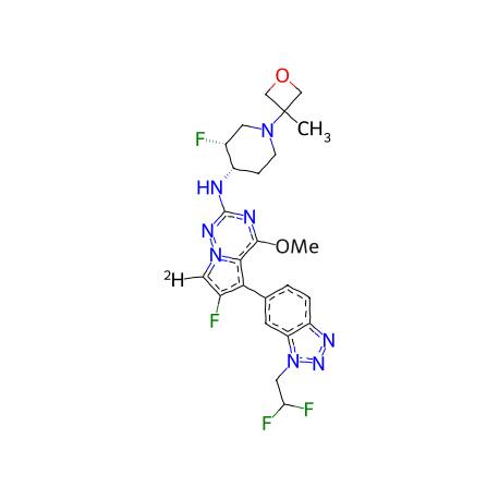 [2H]c1c(F)c(-c2ccc3nnn(CC(F)F)c3c2)c2c(OC)nc(N[C@H]3CCN(C4(C)COC4)C[C@H]3F)nn12